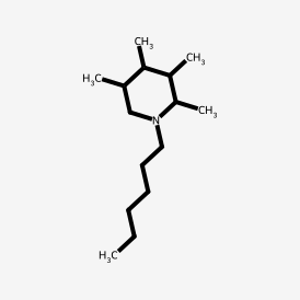 CCCCCCN1CC(C)C(C)C(C)C1C